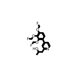 CC(O)Cc1cc(-c2ccc(OCF)c(OCF)c2OCF)ccn1